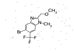 COCc1nc2cc(Br)c(C(F)(F)F)cc2n1C